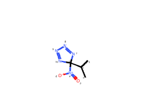 CC(C)C1([N+](=O)[O-])N=NN=N1